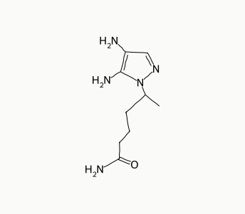 CC(CCCC(N)=O)n1ncc(N)c1N